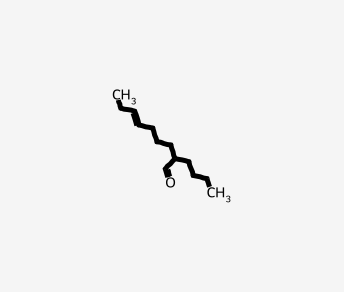 CC/C=C/CCCC(C=O)CCCC